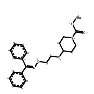 CC(C)(C)OC(=O)N1CCC(OCCON=C(c2ccccc2)c2ccccc2)CC1